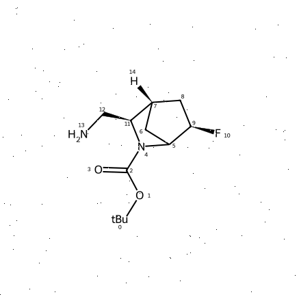 CC(C)(C)OC(=O)N1C2C[C@@H](C[C@H]2F)[C@@H]1CN